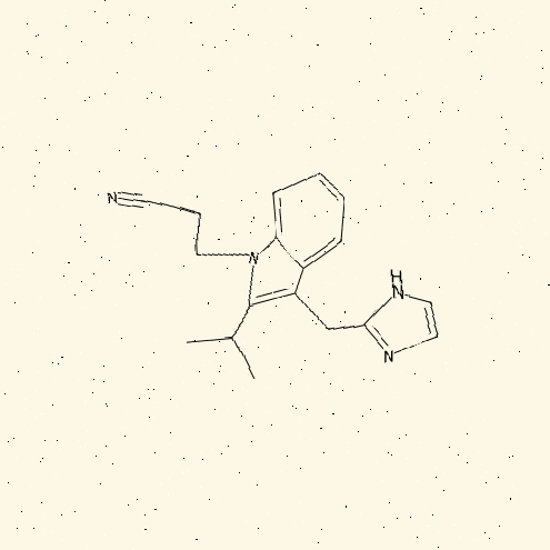 CC(C)c1c(Cc2ncc[nH]2)c2ccccc2n1CCC#N